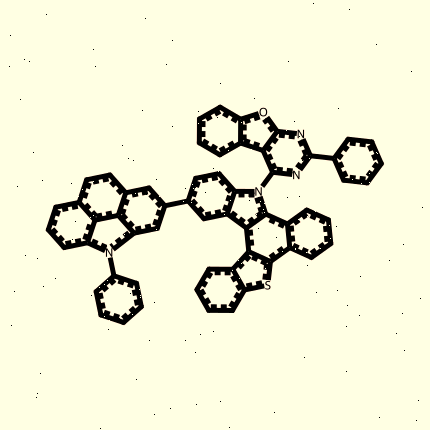 c1ccc(-c2nc(-n3c4ccc(-c5cc6ccc7cccc8c7c6c(c5)n8-c5ccccc5)cc4c4c5c6ccccc6sc5c5ccccc5c43)c3c(n2)oc2ccccc23)cc1